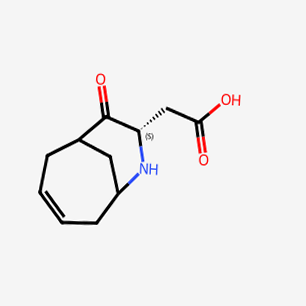 O=C(O)C[C@@H]1NC2CC=CCC(C2)C1=O